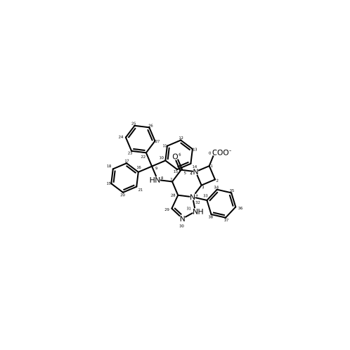 O=C([O-])C1CC2N1C(=O)C(NC(c1ccccc1)(c1ccccc1)c1ccccc1)C1C=NN[N+]12c1ccccc1